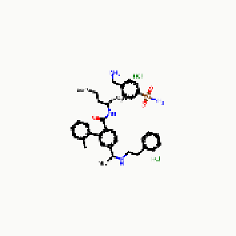 CCCCC(NCCc1ccccc1)c1ccc(C(=O)NC(CCSC)C(=O)O)c(-c2ccccc2C)c1.Cl.Cl.NCc1ccc(S(N)(=O)=O)cc1